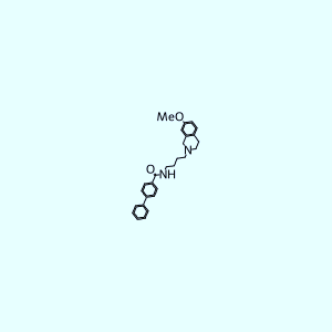 COc1ccc2c(c1)CN(CCCCNC(=O)c1ccc(-c3ccccc3)cc1)CC2